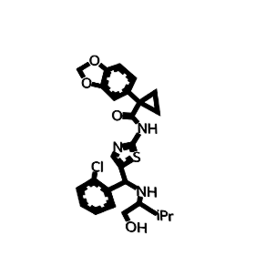 CC(C)C(CO)NC(c1cnc(NC(=O)C2(c3ccc4c(c3)OCO4)CC2)s1)c1ccccc1Cl